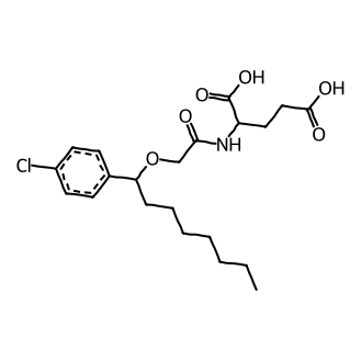 CCCCCCCC(OCC(=O)NC(CCC(=O)O)C(=O)O)c1ccc(Cl)cc1